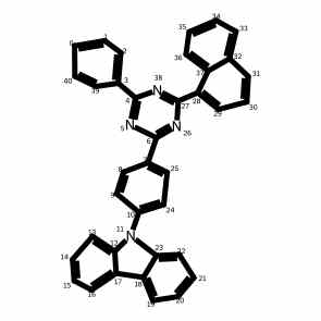 c1ccc(-c2nc(-c3ccc(-n4c5ccccc5c5ccccc54)cc3)nc(-c3cccc4ccccc34)n2)cc1